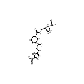 CC(=O)c1nc(COC(=O)[C@@H]2CCCC(C(=O)OCc3cnc(C(C)=O)[nH]3)C2)c[nH]1